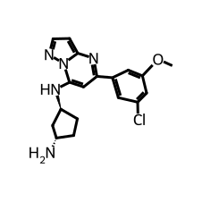 COc1cc(Cl)cc(-c2cc(N[C@H]3CC[C@H](N)C3)n3nccc3n2)c1